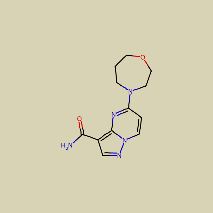 NC(=O)c1cnn2ccc(N3CCCOCC3)nc12